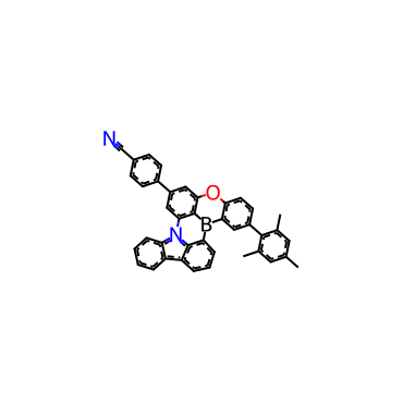 Cc1cc(C)c(-c2ccc3c(c2)B2c4c(cc(-c5ccc(C#N)cc5)cc4-n4c5ccccc5c5cccc2c54)O3)c(C)c1